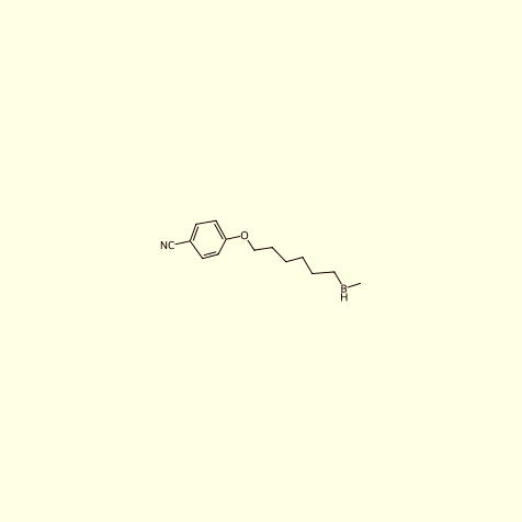 CBCCCCCCOc1ccc(C#N)cc1